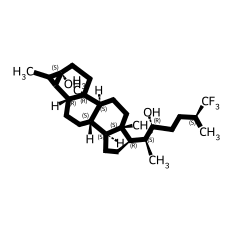 CC1C2[C@H]3CC[C@@H]4[C@H](CC[C@]5(C)[C@@H]([C@H](C)[C@H](O)CC[C@H](C)C(F)(F)F)CC[C@@H]45)[C@@]3(C)CC[C@]12O